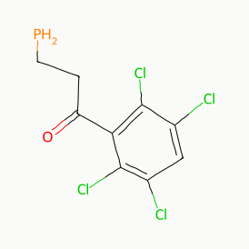 O=C(CCP)c1c(Cl)c(Cl)cc(Cl)c1Cl